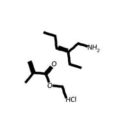 C=C(C)C(=O)OCC.CCC=C(CC)CN.Cl